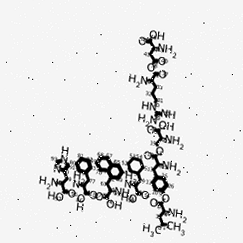 CC(C)C[C@H](N)C(=O)Oc1ccc(C[C@H](N)C(=O)OC[C@@H](N)C(=O)O)cc1.N=C(N)NCCC[C@@H](N)C(=O)OC(=O)C[C@H](N)C(=O)O.N[C@@H](CC1CCCCC1)C(=O)O.N[C@@H](Cc1cccc2ccccc12)C(=O)O.N[C@@H](Cc1ccccc1)C(=O)O.N[C@H](Cc1c[nH]cn1)C(=O)O